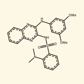 COc1cc(Nc2nc3ccccc3nc2NS(=O)(=O)c2ccccc2N(C)C)cc(OC)c1